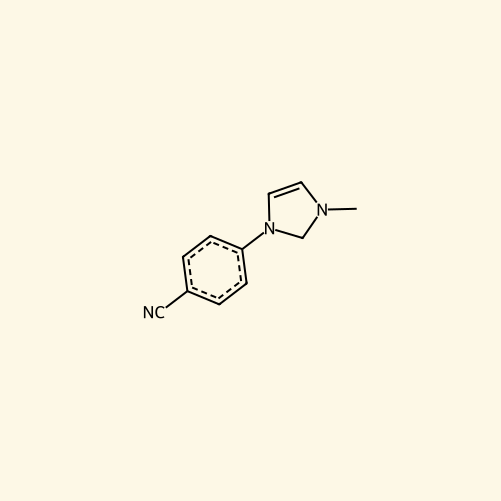 CN1C=CN(c2ccc(C#N)cc2)C1